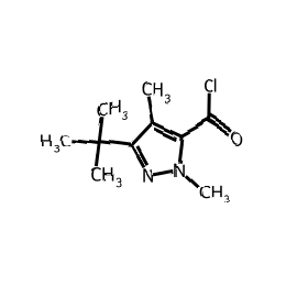 Cc1c(C(C)(C)C)nn(C)c1C(=O)Cl